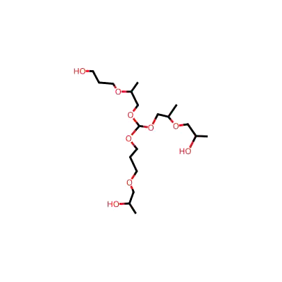 CC(O)COCCCOC(OCC(C)OCCCO)OCC(C)OCC(C)O